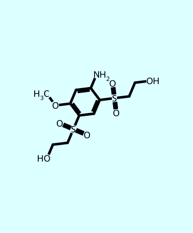 COc1cc(N)c(S(=O)(=O)CCO)cc1S(=O)(=O)CCO